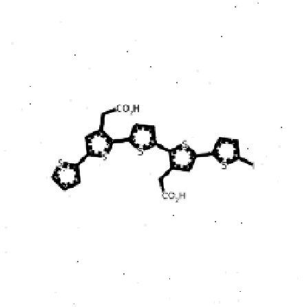 O=C(O)Cc1cc(-c2cccs2)sc1-c1ccc(-c2sc(-c3ccc(I)s3)cc2CC(=O)O)s1